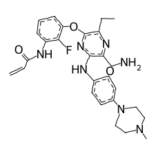 C=CC(=O)Nc1cccc(Oc2nc(Nc3ccc(N4CCN(C)CC4)cc3)c(C(N)=O)nc2CC)c1F